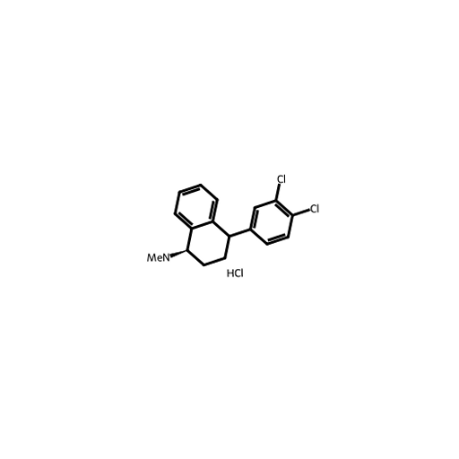 CN[C@@H]1CCC(c2ccc(Cl)c(Cl)c2)c2ccccc21.Cl